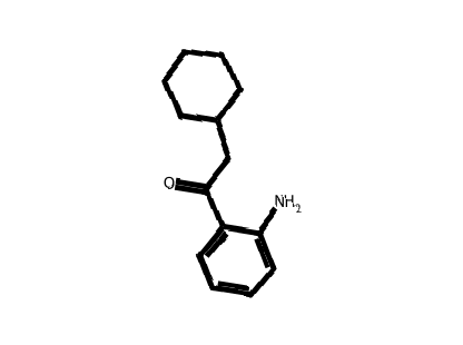 Nc1ccccc1C(=O)CC1CCCCC1